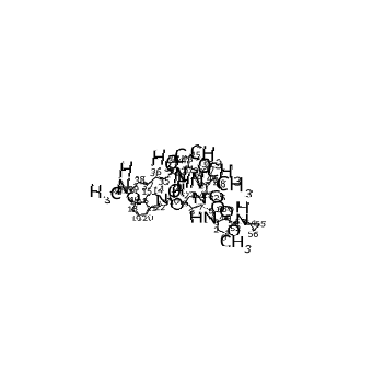 CCCC(NC(=O)C1C[C@@H](OC(=O)N2CCc3ccccc3C2)CN1C(=O)[C@@H](NC(=O)[C@@H](NC(=O)CCCCC(=O)NC)C(C)C)C(C)C)C(=O)C(=O)NC1CC1